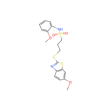 COc1ccc2nc(SCCCS(=O)(=O)Nc3ccccc3OC)sc2c1